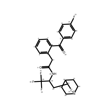 O=C(Cc1ccccc1C(=O)c1ccc(F)cc1)NC(CC1CN2CCC1CC2)C(F)(F)F